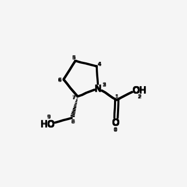 O=C(O)N1CCC[C@H]1CO